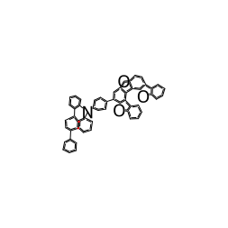 c1ccc(-c2ccc(-c3ccccc3N(c3ccccc3)c3ccc(-c4cc5oc6ccc7c8ccccc8oc7c6c5c5c4oc4ccccc45)cc3)cc2)cc1